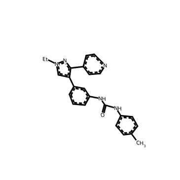 CCn1cc(-c2cccc(NC(=O)Nc3ccc(C)cc3)c2)c(-c2ccncc2)n1